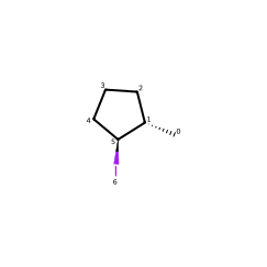 C[C@H]1CCC[C@@H]1I